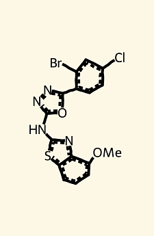 COc1cccc2sc(Nc3nnc(-c4ccc(Cl)cc4Br)o3)nc12